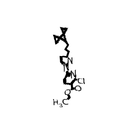 CCOC(=O)c1ccc(-n2ccc(CCCC3C4(CC4)C34CC4)n2)nc1Cl